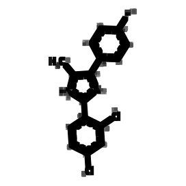 Cc1[nH]c(-c2ccc(Cl)cc2Cl)nc1-c1ccc(F)cc1